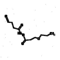 CCCOCCC(=O)ONC(=O)CCC=O